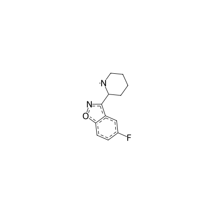 Fc1ccc2onc(C3CCCC[N]3)c2c1